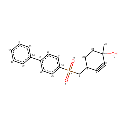 CC1(O)C#CC(CS(=O)(=O)c2ccc(-c3ccccc3)cc2)CC1